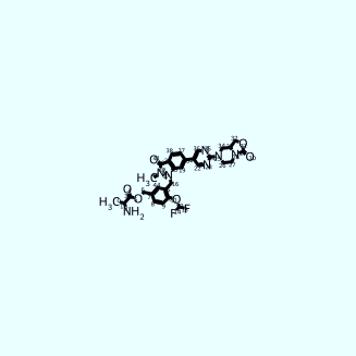 CC(N)C(=O)OCc1ccc(OC(F)F)c(Cn2c3cc(-c4cnc(N5CCN6C(=O)OCC6C5)nc4)ccc3c(=O)n2C)c1